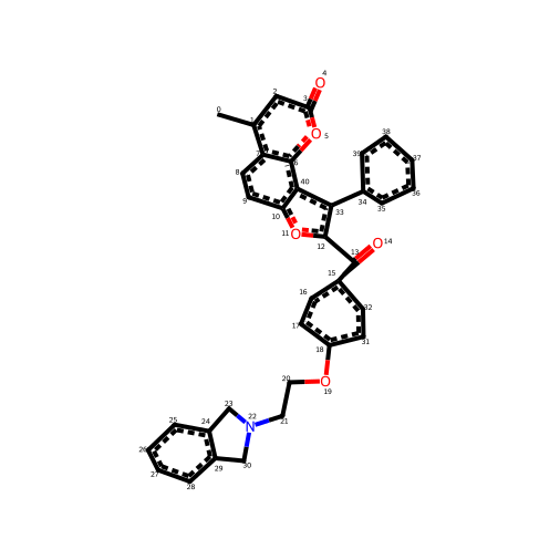 Cc1cc(=O)oc2c1ccc1oc(C(=O)c3ccc(OCCN4Cc5ccccc5C4)cc3)c(-c3ccccc3)c12